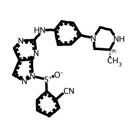 C[C@@H]1CN(c2ccc(Nc3ncc4cnn([S+]([O-])c5ccccc5C#N)c4n3)cc2)CCN1